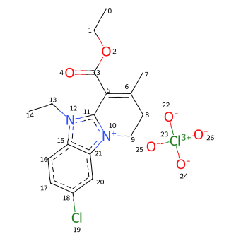 CCOC(=O)C1=C(C)CC[n+]2c1n(CC)c1ccc(Cl)cc12.[O-][Cl+3]([O-])([O-])[O-]